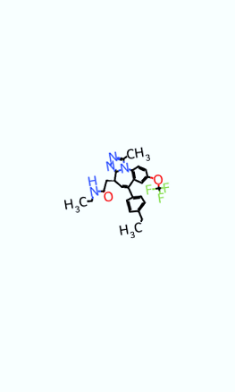 CCNC(=O)C[C@@H]1C=C(c2ccc(CC)cc2)c2cc(OC(F)(F)F)ccc2-n2c(C)nnc21